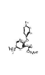 Bc1cnc(Oc2ccc(F)cc2)c(C(=O)OC)c1